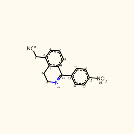 N#CCc1cccc2c1CCN=C2c1ccc([N+](=O)[O-])cc1